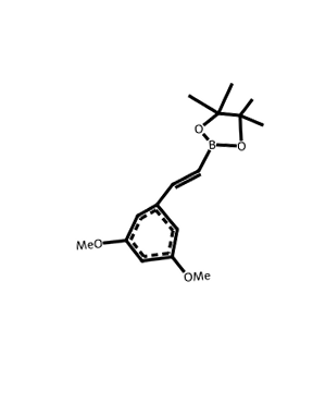 COc1cc(C=CB2OC(C)(C)C(C)(C)O2)cc(OC)c1